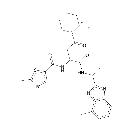 Cc1ncc(C(=O)NC(CC(=O)N2CCCC[C@@H]2C)C(=O)NC(C)c2nc3c(F)cccc3[nH]2)s1